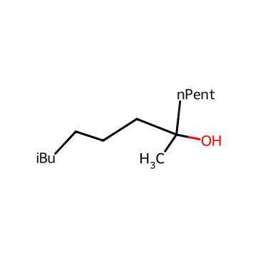 CCCCCC(C)(O)CCCC(C)CC